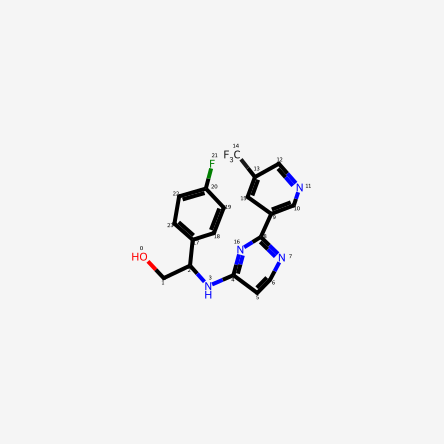 OCC(Nc1ccnc(-c2cncc(C(F)(F)F)c2)n1)c1ccc(F)cc1